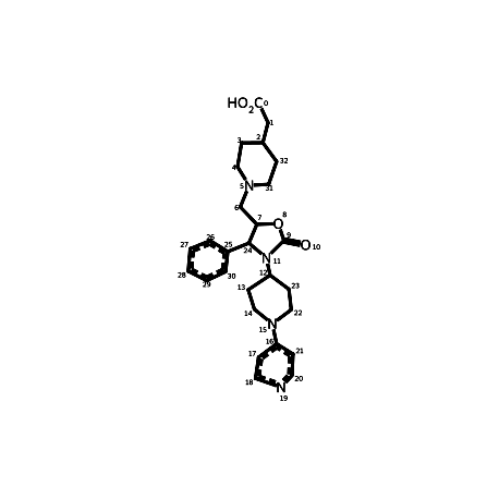 O=C(O)CC1CCN(CC2OC(=O)N(C3CCN(c4ccncc4)CC3)C2c2ccccc2)CC1